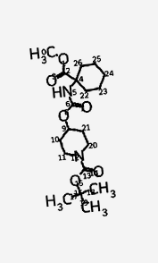 COC(=O)C1(NC(=O)OC2CCN(C(=O)OC(C)(C)C)CC2)CCCCC1